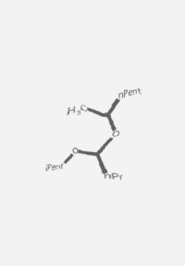 CCCCCC(C)OC(CCC)OC(C)CCC